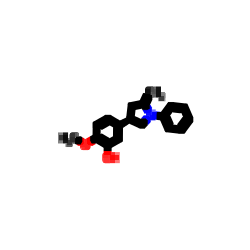 C=C1C[C@H](c2ccc(OC)c(O)c2)CN1c1ccccc1